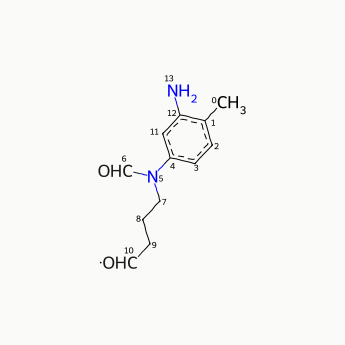 Cc1ccc(N(C=O)CCC[C]=O)cc1N